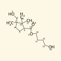 CC1(CO)CCC(C(=O)OCCCCO)C1(C)C